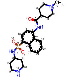 CN1CCC(C(=O)Nc2ccc(S(=O)(=O)NC3CCNCC3)c3ccccc23)CC1